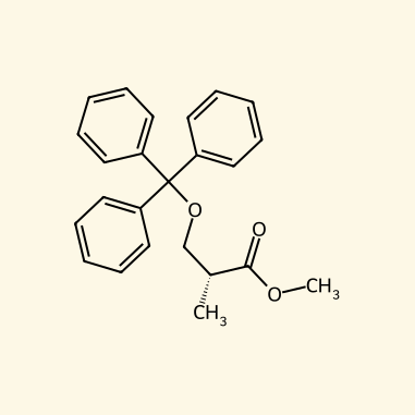 COC(=O)[C@H](C)COC(c1ccccc1)(c1ccccc1)c1ccccc1